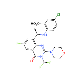 C[C@@H](Nc1ccc(Cl)cc1C(=O)O)c1cc(F)cc2c(=O)n(C(F)F)c(N3CCOCC3)nc12